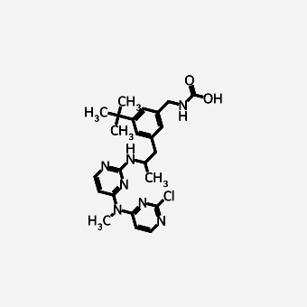 CC(Cc1cc(CNC(=O)O)cc(C(C)(C)C)c1)Nc1nccc(N(C)c2ccnc(Cl)n2)n1